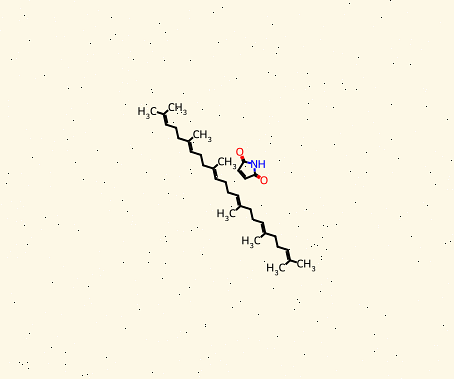 CC(C)=CCC/C(C)=C/CC/C(C)=C/CC/C=C(\C)CC/C=C(\C)CCC=C(C)C.O=C1C=CC(=O)N1